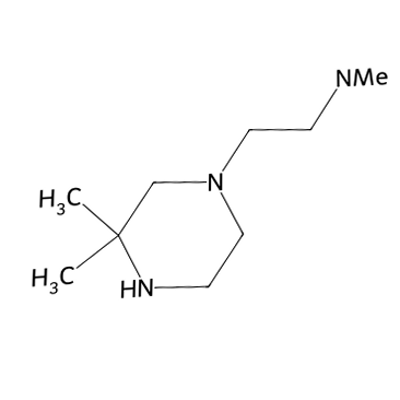 CNCCN1CCNC(C)(C)C1